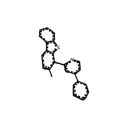 Cc1ccc2c(sc3ccccc32)c1-c1cc(-c2ccccc2)ccn1